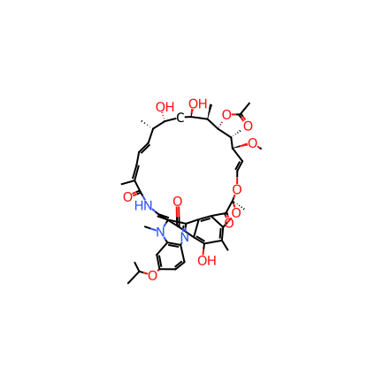 CO[C@H]1/C=C/O[C@@]2(C)Oc3c(C)c(O)c4c(=O)c(c5n(C)c6cc(OC(C)C)ccc6nc-5c4c3C2=O)NC(=O)/C(C)=C\C=C\[C@H](C)[C@H](O)C[C@@H](O)[C@@H](C)[C@H](OC(C)=O)[C@@H]1C